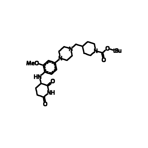 COc1cc(N2CCN(CC3CCN(C(=O)OC(C)(C)C)CC3)CC2)ccc1NC1CCC(=O)NC1=O